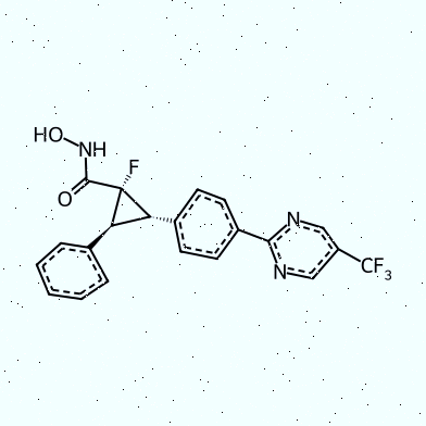 O=C(NO)[C@]1(F)[C@H](c2ccccc2)[C@H]1c1ccc(-c2ncc(C(F)(F)F)cn2)cc1